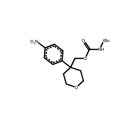 CC(C)(C)NC(=O)OCC1(c2ccc([N+](=O)[O-])cc2)CCOCC1